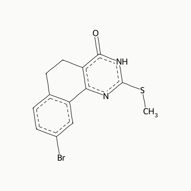 CSc1nc2c(c(=O)[nH]1)CCc1ccc(Br)cc1-2